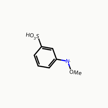 CO[N]c1cccc(S(=O)(=O)O)c1